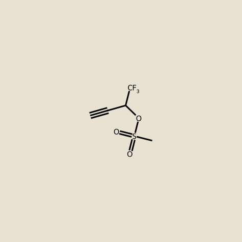 C#CC(OS(C)(=O)=O)C(F)(F)F